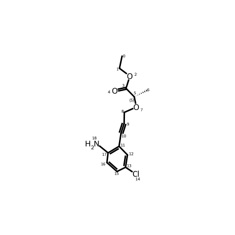 CCOC(=O)[C@H](C)OCC#Cc1cc(Cl)ccc1N